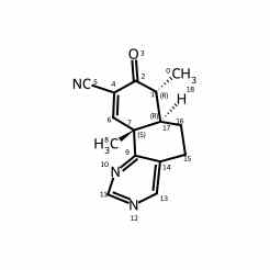 C[C@H]1C(=O)C(C#N)=C[C@@]2(C)c3ncncc3CC[C@H]12